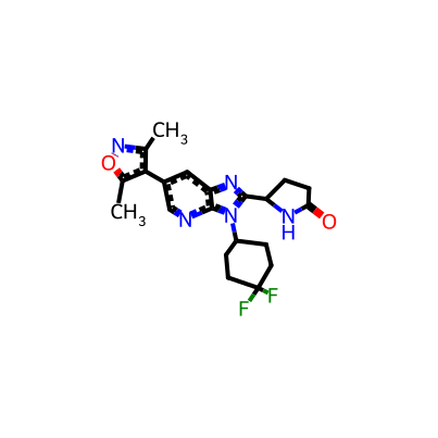 Cc1noc(C)c1-c1cnc2c(c1)nc(C1CCC(=O)N1)n2C1CCC(F)(F)CC1